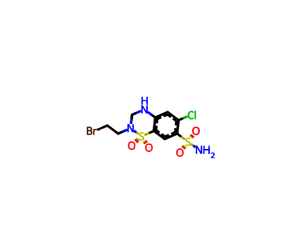 NS(=O)(=O)c1cc2c(cc1Cl)NCN(CCBr)S2(=O)=O